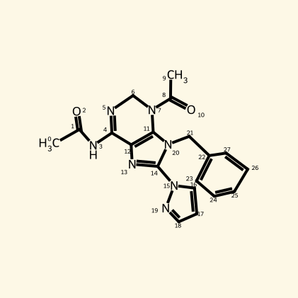 CC(=O)NC1=NCN(C(C)=O)c2c1nc(-n1cccn1)n2Cc1ccccc1